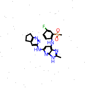 Cc1nc2c(Nc3ccc(F)cc3S(C)(=O)=O)cc(Nc3cc4c(nn3)CCC4)nc2[nH]1